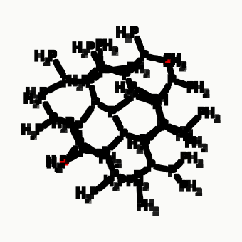 PPP(P(P)P)P(P(P(P)P)P(P)P)P(P(P(P)P)P(P)P)P(P(P(P(P)P)P(P)P)P(P(P)P)P(P)P)P(P(P(P)P)P(P)P)P(P(P)P)P(P)P